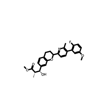 COC(=O)[C@@H](C)[C@@H](O)c1ccc2c(c1)OC(c1ccc(-c3cc(OC)ccc3F)c(C)n1)CC2